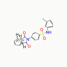 Cc1cccc(NS(=O)(=O)c2ccc(N3C(=O)[C@@H]4[C@H](C3=O)C3C=C[C@H]4C3)cc2)c1